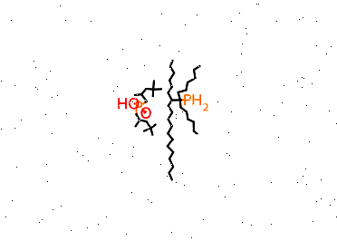 CC(CC(C)(C)C)CP(=O)(O)CC(C)CC(C)(C)C.CCCCCCCCCCCCC(CCCCCC)C(P)(CCCCCC)CCCCCC